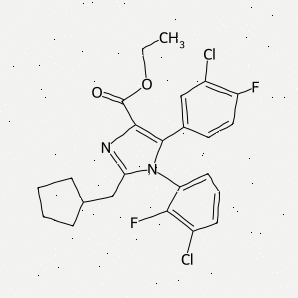 CCOC(=O)c1nc(CC2CCCC2)n(-c2cccc(Cl)c2F)c1-c1ccc(F)c(Cl)c1